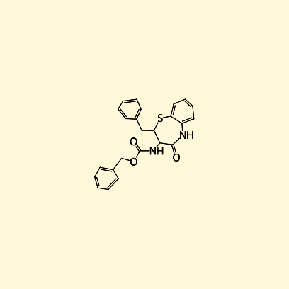 O=C(NC1C(=O)Nc2ccccc2SC1Cc1ccccc1)OCc1ccccc1